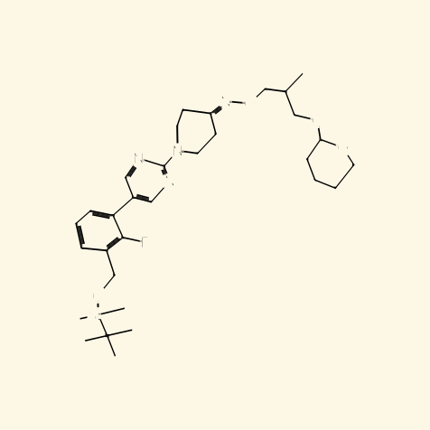 CC(CON=C1CCN(c2ncc(-c3cccc(CO[Si](C)(C)C(C)(C)C)c3F)cn2)CC1)COC1CCCCO1